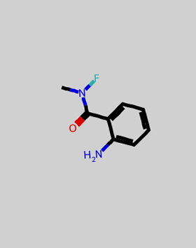 CN(F)C(=O)c1ccccc1N